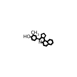 Cc1cc(-c2nc3ccc4ccccc4c3c3c2CCC3)ccc1O